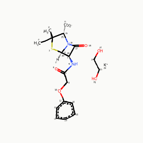 CC1(C)S[C@@H]2[C@H](NC(=O)COc3ccccc3)C(=O)N2[C@H]1C(=O)[O-].OCCO.[K+]